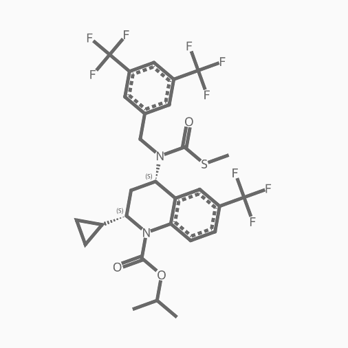 CSC(=O)N(Cc1cc(C(F)(F)F)cc(C(F)(F)F)c1)[C@H]1C[C@@H](C2CC2)N(C(=O)OC(C)C)c2ccc(C(F)(F)F)cc21